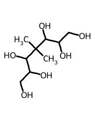 CC(C)(C(O)C(O)CO)C(O)C(O)CO